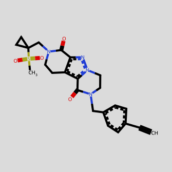 C#Cc1ccc(CN2CCn3nc4c(c3C2=O)CCN(CC2(S(C)(=O)=O)CC2)C4=O)cc1